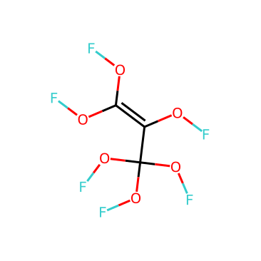 FOC(OF)=C(OF)C(OF)(OF)OF